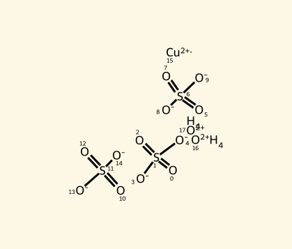 O=S(=O)([O-])[O-].O=S(=O)([O-])[O-].O=S(=O)([O-])[O-].[Cu+2].[OH4+2].[OH4+2]